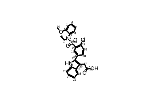 CCN(c1ccccc1OC)S(=O)(=O)c1cc(-c2[nH]c3ccccc3c2CC(=O)O)ccc1Cl